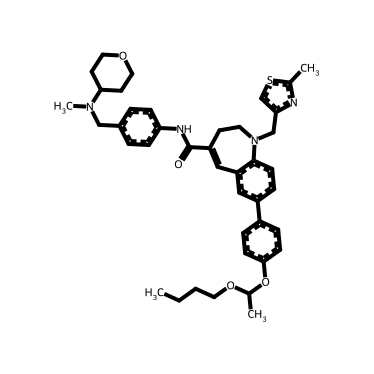 CCCCOC(C)Oc1ccc(-c2ccc3c(c2)C=C(C(=O)Nc2ccc(CN(C)C4CCOCC4)cc2)CCN3Cc2csc(C)n2)cc1